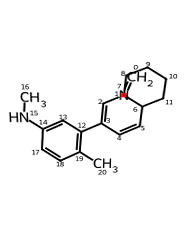 C=N/C=C(\C=C/C1CCCCC1)c1cc(NC)ccc1C